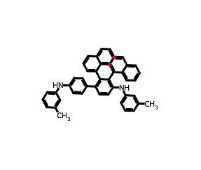 Cc1cccc(Nc2ccc(-c3ccc(Nc4cccc(C)c4)c(-c4cccc5ccccc45)c3-c3cccc4ccccc34)cc2)c1